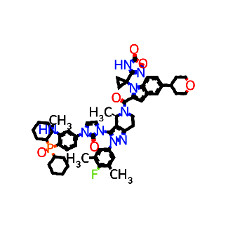 CNc1cc(-n2ccn(-c3c4c(nn3-c3cc(C)c(F)c(C)c3)CCN(C(=O)c3cc5cc(C6CCOCC6)ccc5n3C3(c5noc(=O)[nH]5)CC3)[C@H]4C)c2=O)ccc1P(=O)(C1CCCCC1)C1CCCCC1